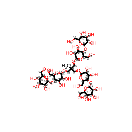 CC(CO[C@@H]1OC(CO)[C@@H](O[C@@H]2OC(CO)[C@H](O)C(O)[C@@H]2O)C(O)[C@@H]1O)(CO[C@@H]1OC(CO)[C@@H](O[C@@H]2OC(CO)[C@H](O)C(O)[C@@H]2O)C(O)[C@@H]1O)CO[C@@H]1OC(CO)[C@@H](O[C@@H]2OC(CO)[C@H](O)C(O)[C@@H]2O)C(O)[C@@H]1O